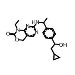 CCN1C(=O)OCc2cnc(NC(C)c3ccc(C(O)CC4CC4)cc3)nc21